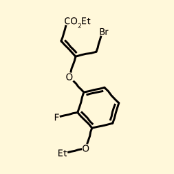 CCOC(=O)C=C(CBr)Oc1cccc(OCC)c1F